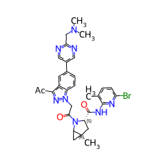 CC(=O)c1nn(CC(=O)N2C3C[C@]3(C)C[C@H]2C(=O)Nc2nc(Br)ccc2C)c2ccc(-c3cnc(CN(C)C)nc3)cc12